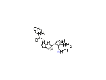 CCNC(=O)Cn1ccc2cnc(-c3c[nH]c(N)c3/C=N\CI)nc21